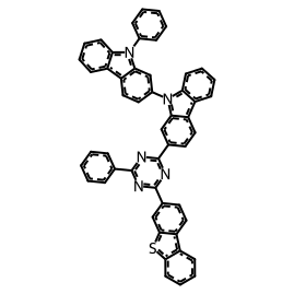 c1ccc(-c2nc(-c3ccc4c(c3)sc3ccccc34)nc(-c3ccc4c5ccccc5n(-c5ccc6c7ccccc7n(-c7ccccc7)c6c5)c4c3)n2)cc1